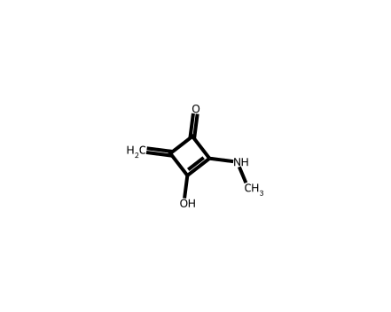 C=C1C(=O)C(NC)=C1O